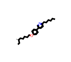 CCCCCCc1ccc(-c2ccc(OCCCCC[C@@H](C)CC)cc2)cn1